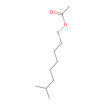 CC(=O)OSCCCCCC(C)C